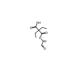 CCC(CC)(C(=O)O)C(=O)ONC=O